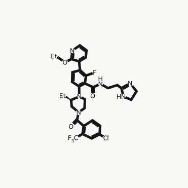 CCOc1ncccc1-c1ccc(N2CCN(C(=O)c3ccc(Cl)cc3C(F)(F)F)C[C@H]2CC)c(C(=O)NCCC2=NCCN2)c1F